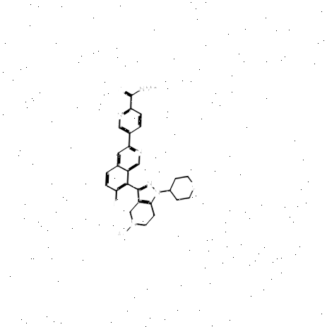 CNC(=O)c1ccc(-c2cc3ccc(F)c(-c4nn(C5CCOCC5)c5c4CN(C(C)=O)CC5)c3cn2)cn1